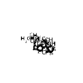 CC(C)(C)OC(=O)N1CCc2ccc(-c3c([Si](C)(C)C)[nH]c4nccc(Cl)c34)cc21